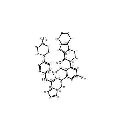 CN1CCN(c2ccc(Nc3nc(-c4cc(F)cc(N5CCn6c(cc7c6CCCC7)C5=O)c4CN)cn4ccnc34)nc2)CC1